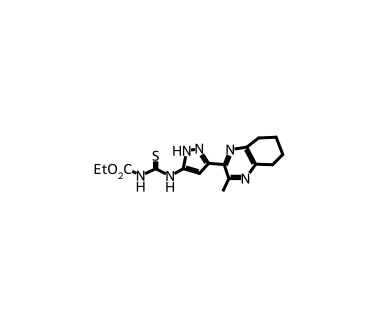 CCOC(=O)NC(=S)Nc1cc(-c2nc3c(nc2C)CCCC3)n[nH]1